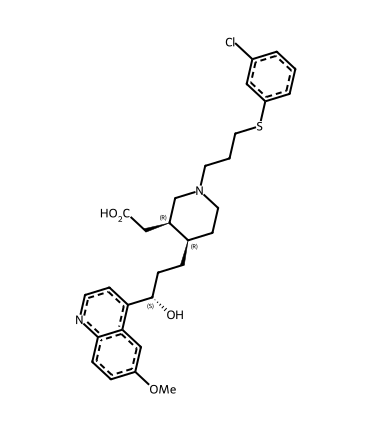 COc1ccc2nccc([C@@H](O)CC[C@@H]3CCN(CCCSc4cccc(Cl)c4)C[C@@H]3CC(=O)O)c2c1